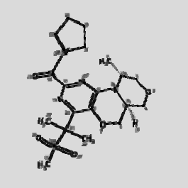 C[C@@H]1COC[C@H]2COc3c(nc(C(=O)N4CCCC4)nc3C(C)(C)S(C)(=O)=O)N21